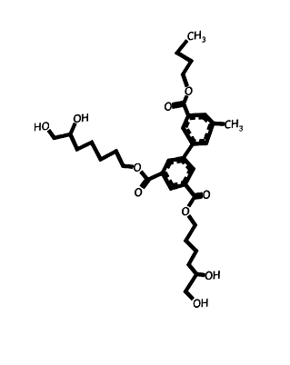 CCCCOC(=O)c1cc(C)cc(-c2cc(C(=O)OCCCCCC(O)CO)cc(C(=O)OCCCCC(O)CO)c2)c1